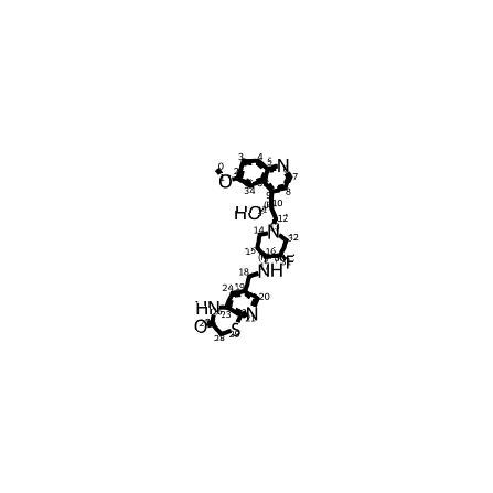 COc1ccc2nccc([C@@H](O)CN3CC[C@@H](NCc4cnc5c(c4)NC(=O)CS5)[C@H](F)C3)c2c1